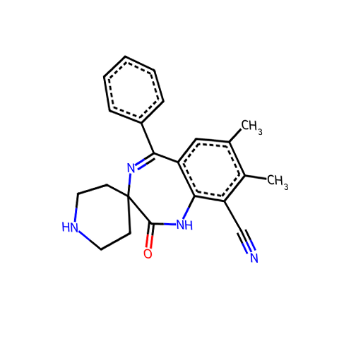 Cc1cc2c(c(C#N)c1C)NC(=O)C1(CCNCC1)N=C2c1ccccc1